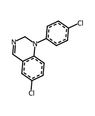 Clc1ccc(N2CN=Cc3cc(Cl)ccc32)cc1